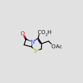 CC(=O)OCC1=C(C(=O)O)N2C(=O)CC2SC1